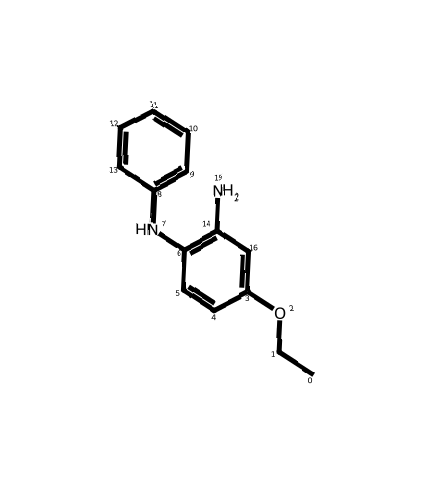 CCOc1ccc(Nc2ccccc2)c(N)c1